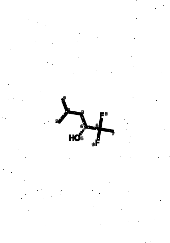 CC(C)C[C@@H](O)C(C)(F)F